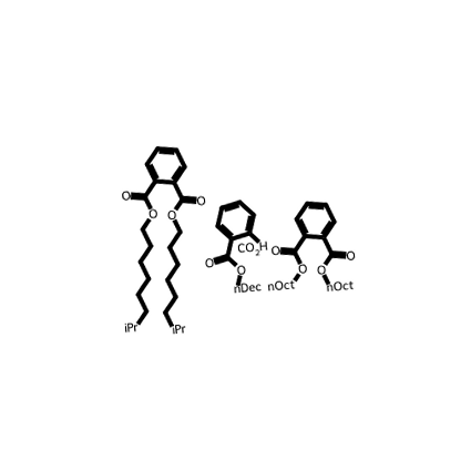 CC(C)CCCCCCOC(=O)c1ccccc1C(=O)OCCCCCCC(C)C.CCCCCCCCCCOC(=O)c1ccccc1C(=O)O.CCCCCCCCOC(=O)c1ccccc1C(=O)OCCCCCCCC